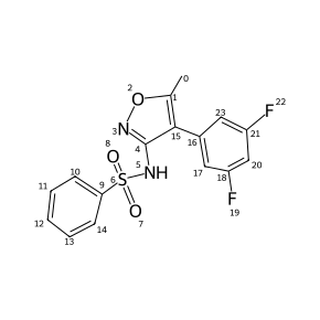 Cc1onc(NS(=O)(=O)c2ccccc2)c1-c1cc(F)cc(F)c1